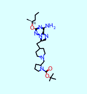 CCC[C@H](C)Oc1nc(N)c2ncc(CC3CCN(CC4CCCN4C(=O)OC(C)(C)C)CC3)n2n1